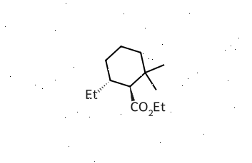 CCOC(=O)[C@H]1[C@H](CC)CCCC1(C)C